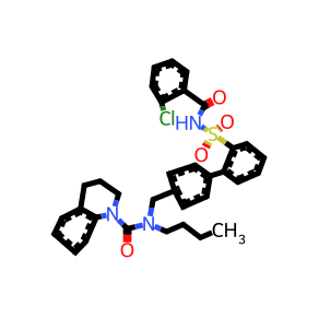 CCCCN(Cc1ccc(-c2ccccc2S(=O)(=O)NC(=O)c2ccccc2Cl)cc1)C(=O)N1CCCc2ccccc21